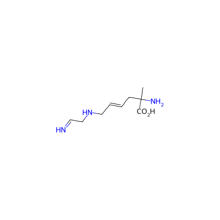 CC(N)(C/C=C/CNCC=N)C(=O)O